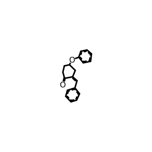 O=C1CCC(Oc2ccccc2)CC1=Cc1ccccc1